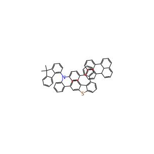 CC1(C)c2ccccc2-c2c(N(c3ccc(-c4ccc(C5C=CC=C6C=CC=C(c7ccccc7)C65)cc4)cc3)c3ccccc3-c3ccc4c(c3)sc3cccc(-c5ccccc5)c34)cccc21